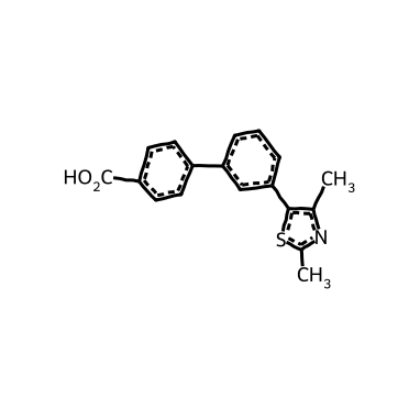 Cc1nc(C)c(-c2cccc(-c3ccc(C(=O)O)cc3)c2)s1